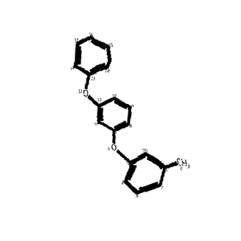 Cc1cccc(Oc2cccc(Oc3ccccc3)c2)c1